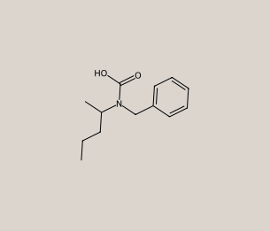 CCCC(C)N(Cc1ccccc1)C(=O)O